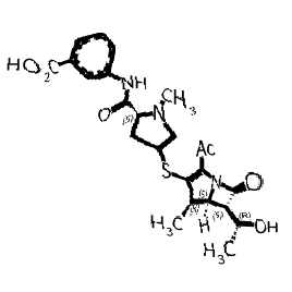 CC(=O)C1=C(SC2C[C@@H](C(=O)Nc3cccc(C(=O)O)c3)N(C)C2)[C@H](C)[C@@H]2[C@@H]([C@@H](C)O)C(=O)N12